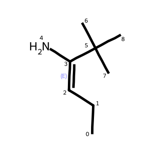 CC/C=C(/N)C(C)(C)C